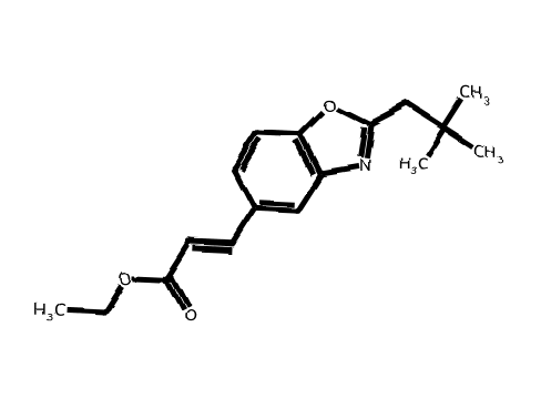 CCOC(=O)C=Cc1ccc2oc(CC(C)(C)C)nc2c1